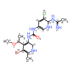 COC(C)C1=C(NC(=O)NC2=CNC(NC(C)=N)C(Cl)=C2)CNC(C)=C1Br